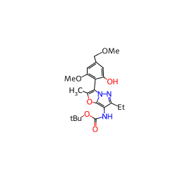 CCc1nn2c(-c3c(O)cc(COC)cc3OC)c(C)oc2c1NC(=O)OC(C)(C)C